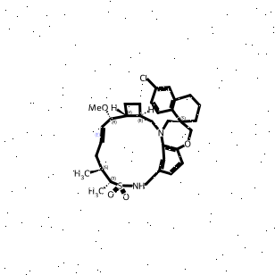 CO[C@H]1/C=C/C[C@H](C)[C@@H](C)S(=O)(=O)NCc2ccc3c(c2)N(C[C@@H]2CC[C@H]21)C[C@@]1(CCCc2cc(Cl)ccc21)CO3